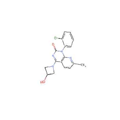 O=c1nc(N2CC(O)C2)c2ccc(C(F)(F)F)nc2n1-c1ccccc1Cl